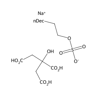 CCCCCCCCCCCCOS(=O)(=O)[O-].O=C(O)CC(O)(CC(=O)O)C(=O)O.[Na+]